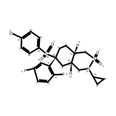 O=S1(=O)C[C@H]2CC[C@@](c3cc(F)ccc3F)(S(=O)(=O)c3ccc(Cl)cc3)C[C@H]2CN1C1CC1